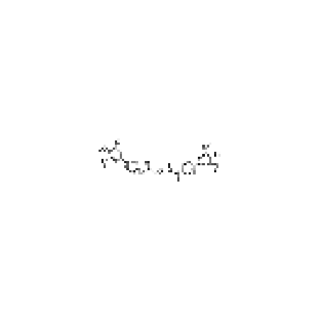 COc1cc(-c2ccc(NC(=O)COCC(=O)Nc3ccc(-c4cc(OC)c(OC)c(OC)c4)nc3)cn2)cc(OC)c1OC